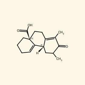 CC1=C2CC[C@@]3(C(=O)O)CCCC=C3[C@H]2CC(C)C1=O